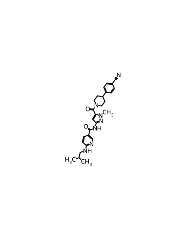 CC(C)CNc1ccc(C(=O)Nc2cc(C(=O)N3CCC(c4ccc(C#N)cc4)CC3)n(C)n2)cn1